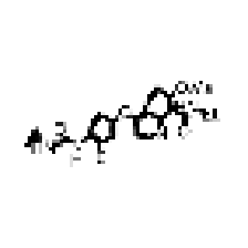 CCNC(=O)c1c(OC)ccc2c(Oc3ccc(NC(=O)NC4CC4)c(Cl)c3)ccnc12